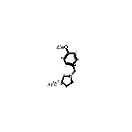 COc1ccc(CN2CC[C@H](OC(C)=O)C2)cc1